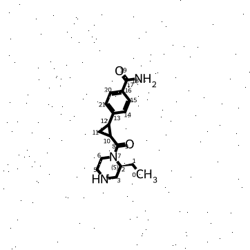 CC[C@H]1CNCCN1C(=O)C1CC1c1ccc(C(N)=O)cc1